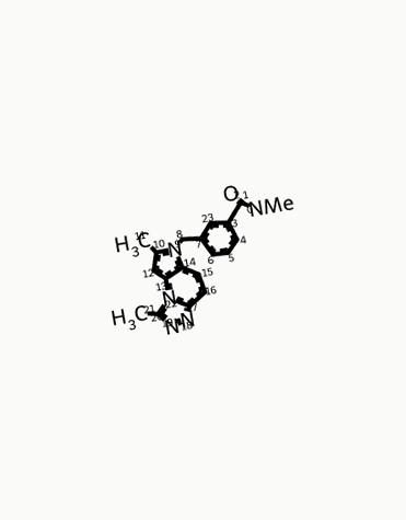 CNC(=O)c1cccc(Cn2c(C)cc3c2ccc2nnc(C)n23)c1